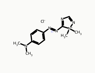 CN(C)c1ccc(/N=N/C2=NC=N[N+]2(C)C)cc1.[Cl-]